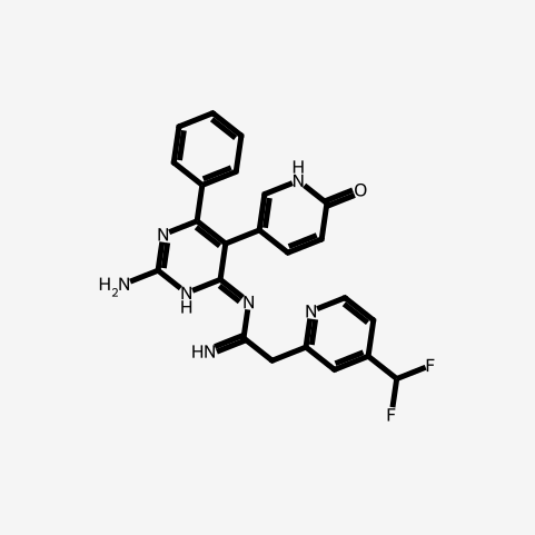 N=C(Cc1cc(C(F)F)ccn1)/N=c1\[nH]c(N)nc(-c2ccccc2)c1-c1ccc(=O)[nH]c1